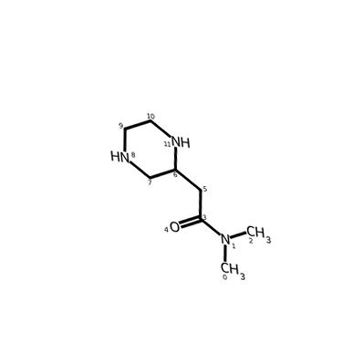 CN(C)C(=O)CC1CNCCN1